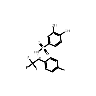 O=S(=O)(N[C@H](c1ccc(F)cc1)C(F)(F)F)c1ccc(O)c(O)c1